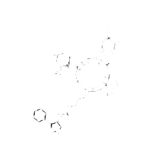 CC[C@H]1OC(=O)[C@H](C)[C@@H](O[C@H]2C[C@@](C)(OC)[C@@H](O)[C@H](C)O2)[C@H](C)[C@@H](O[C@@H]2O[C@H](C)C[C@H](N(C)C)[C@H]2O)[C@](C)(O)C[C@@H](C)CN(CCCNC(=O)Nc2c(C)noc2-c2ccccc2)[C@H](C)[C@@H](O)[C@]1(C)O